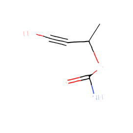 CC(C#CO)OC(N)=O